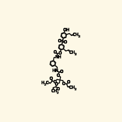 C=CCc1cc(S(=O)(=O)c2ccc(OC(=O)NCc3cccc(CNC(=O)OCC(COC(=O)C=C)(COC(=O)C=C)COC(=O)C=C)c3)c(CC=C)c2)ccc1O